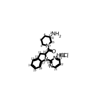 Cl.Cl.N[C@H]1CCCN(C(=O)C2Cc3ccccc3N2c2ncccn2)C1